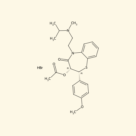 Br.COc1ccc([C@H]2Sc3ccccc3N(CCN(C)C(C)C)C(=O)[C@H]2OC(C)=O)cc1